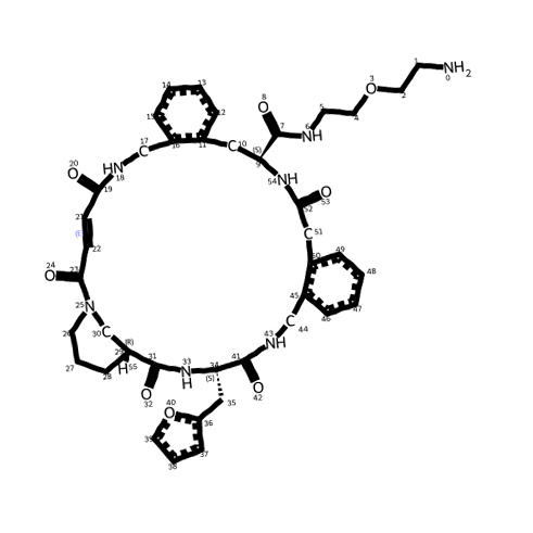 NCCOCCNC(=O)[C@@H]1Cc2ccccc2CNC(=O)/C=C/C(=O)N2CCC[C@H](C2)C(=O)N[C@@H](Cc2ccco2)C(=O)NCc2ccccc2CC(=O)N1